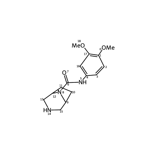 COc1ccc(NC(=O)N2C3CCC2CNC3)cc1OC